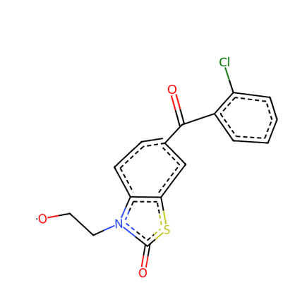 [O]CCn1c(=O)sc2cc(C(=O)c3ccccc3Cl)ccc21